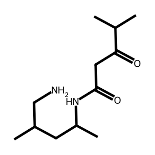 CC(CN)CC(C)NC(=O)CC(=O)C(C)C